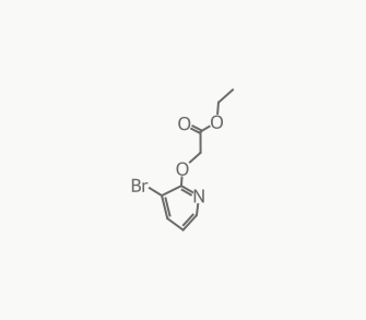 CCOC(=O)COc1ncccc1Br